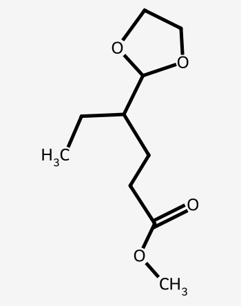 CCC(CCC(=O)OC)C1OCCO1